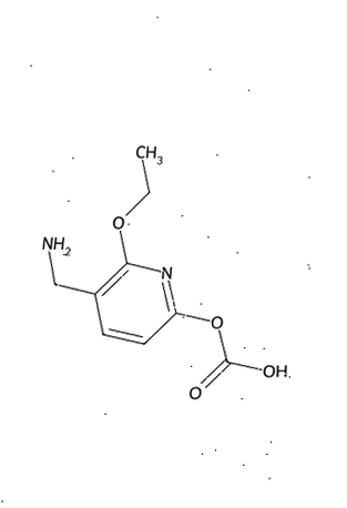 CCOc1nc(OC(=O)O)ccc1CN